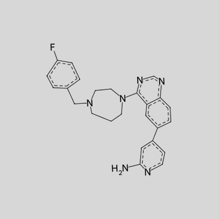 Nc1cc(-c2ccc3ncnc(N4CCCN(Cc5ccc(F)cc5)CC4)c3c2)ccn1